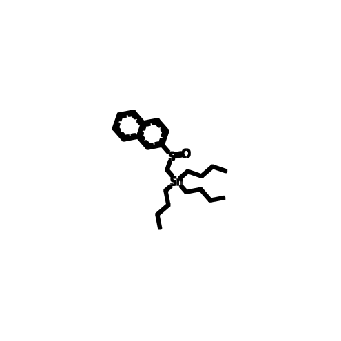 CCC[CH2][Sn]([CH2]CCC)([CH2]CCC)[CH2]S(=O)c1ccc2ccccc2c1